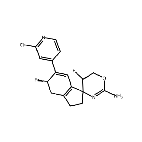 NC1=NC2(CCC3=C2C=C(c2ccnc(Cl)c2)[C@H](F)C3)C(F)CO1